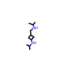 CC(C)NCC1CC(NC(C)C)C1